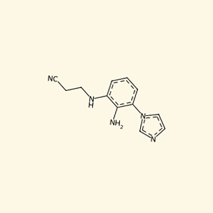 N#CCCNc1cccc(-n2ccnc2)c1N